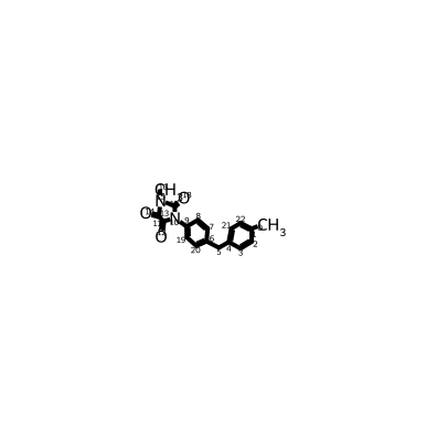 Cc1ccc(Cc2ccc(N3C(=O)C(=O)N(C)C3=O)cc2)cc1